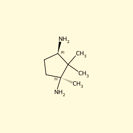 CC1(C)[C@H](N)CC[C@]1(C)N